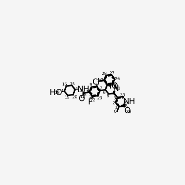 Cc1cc(/C(CC(c2ccc(C(=O)N[C@H]3CC[C@H](O)CC3)c(F)c2)c2ccccc2Cl)=N/O)c[nH]c1=O